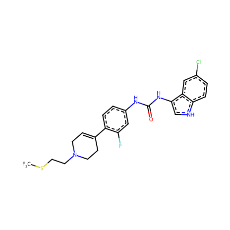 O=C(Nc1ccc(C2=CCN(CCSC(F)(F)F)CC2)c(F)c1)Nc1c[nH]c2ccc(Cl)cc12